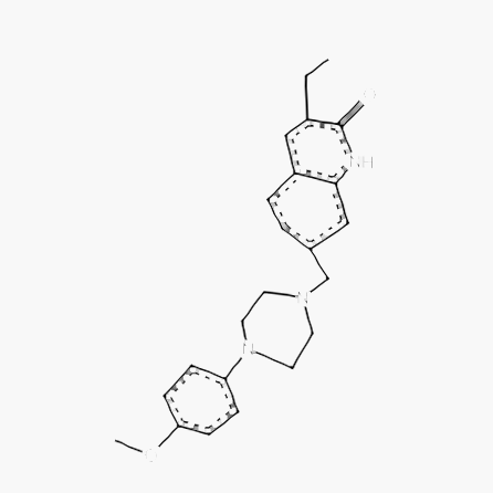 CCc1cc2ccc(CN3CCN(c4ccc(OC)cc4)CC3)cc2[nH]c1=O